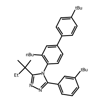 CCCCc1cc(-c2ccc(C(C)(C)C)cc2)ccc1-n1c(-c2cccc(C(C)(C)C)c2)nnc1C(C)(C)CC